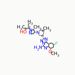 COc1cc(F)cc2c1nc(N)n1nc([C@H]3C[C@@H](C)CN(c4cnn([C@@H](C)[C@H](C)O)c4C)C3)nc21